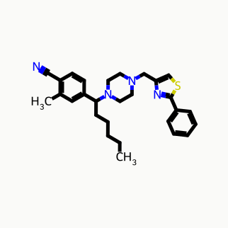 CCCCCC(c1ccc(C#N)c(C)c1)N1CCN(Cc2csc(-c3ccccc3)n2)CC1